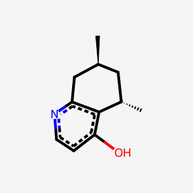 C[C@@H]1Cc2nccc(O)c2[C@@H](C)C1